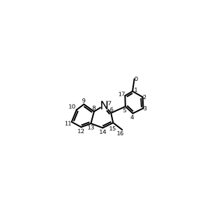 Cc1cccc(-c2nc3ccccc3cc2C)c1